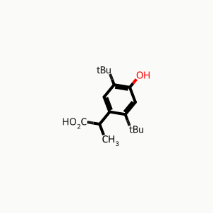 CC(C(=O)O)c1cc(C(C)(C)C)c(O)cc1C(C)(C)C